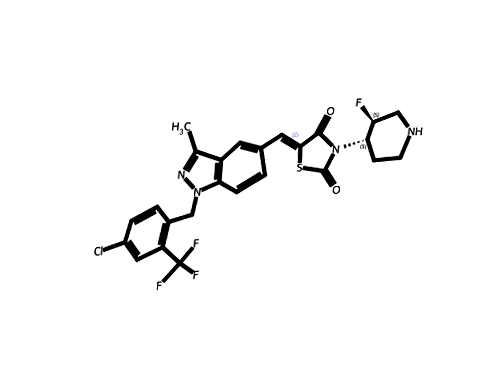 Cc1nn(Cc2ccc(Cl)cc2C(F)(F)F)c2ccc(/C=C3\SC(=O)N([C@H]4CCNC[C@@H]4F)C3=O)cc12